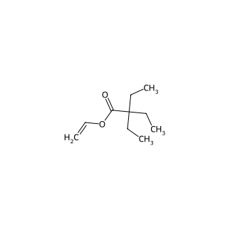 C=COC(=O)C(CC)(CC)CC